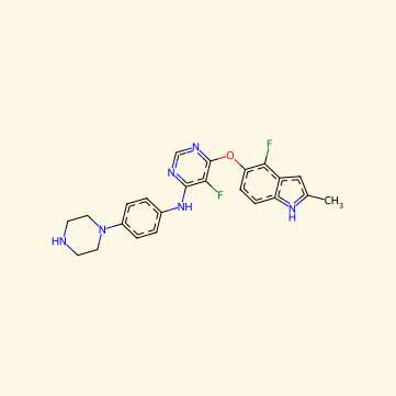 Cc1cc2c(F)c(Oc3ncnc(Nc4ccc(N5CCNCC5)cc4)c3F)ccc2[nH]1